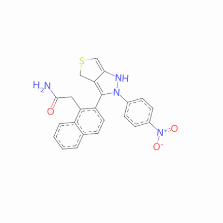 NC(=O)Cc1c(C2=C3CSC=C3NN2c2ccc([N+](=O)[O-])cc2)ccc2ccccc12